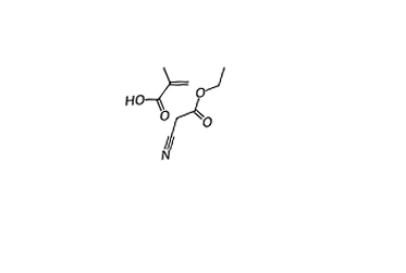 C=C(C)C(=O)O.CCOC(=O)CC#N